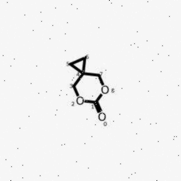 O=C1OCC2(CC2)CO1